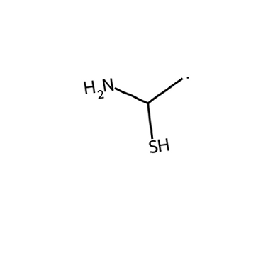 [CH2]C(N)S